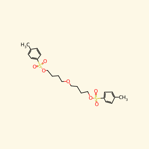 Cc1ccc(S(=O)(=O)OCCCCOCCCCOS(=O)(=O)c2ccc(C)cc2)cc1